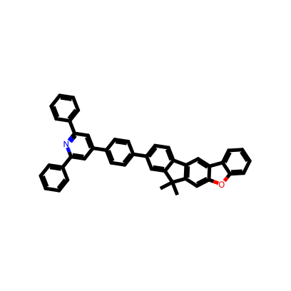 CC1(C)c2cc(-c3ccc(-c4cc(-c5ccccc5)nc(-c5ccccc5)c4)cc3)ccc2-c2cc3c(cc21)oc1ccccc13